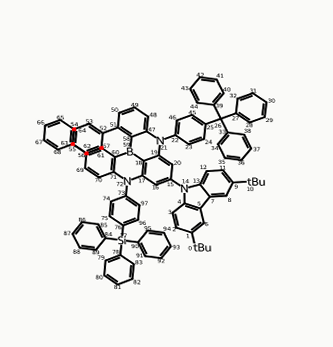 CC(C)(C)c1ccc2c(c1)c1cc(C(C)(C)C)ccc1n2-c1cc2c3c(c1)N(c1ccc(C(c4ccccc4)(c4ccccc4)c4ccccc4)cc1)c1cccc(-c4ccccc4)c1B3c1cc(-c3ccccc3)ccc1N2c1ccc([Si](c2ccccc2)(c2ccccc2)c2ccccc2)cc1